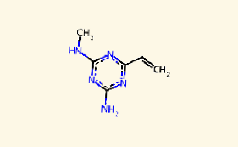 C=Cc1nc(N)nc(NC)n1